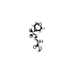 COC(=O)NSSS(=O)(=O)N1CCOCC1